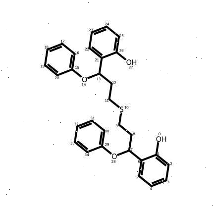 Oc1ccccc1C(CCSCCC(Oc1ccccc1)c1ccccc1O)Oc1ccccc1